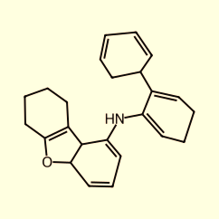 C1=CCC(C2=CCCC=C2NC2=CC=CC3OC4=C(CCCC4)C23)C=C1